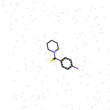 S=C(c1ccc(I)cc1)N1CCCCC1